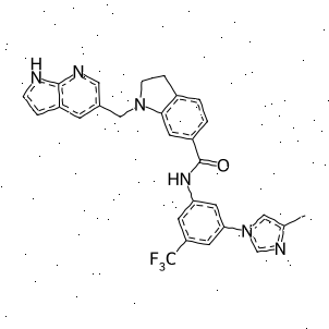 Cc1cn(-c2cc(NC(=O)c3ccc4c(c3)N(Cc3cnc5[nH]ccc5c3)CC4)cc(C(F)(F)F)c2)cn1